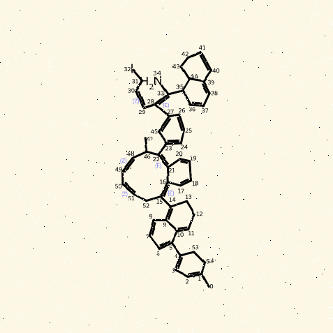 CC1=CC=C(c2cccc3c2=CCCC=3/C2=c3\cccc\c3=C(/c3cccc(C(/C=C\CI)=C(/N)C4C=CC=C5C=CCCC54)c3)C(C)/C=C\C=C/C2)CC1